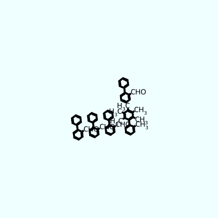 Cc1ccccc1-c1c(C)c(C)c(C)c(C)c1C.O=Cc1ccccc1-c1ccccc1.O=Cc1ccccc1-c1ccccc1.O=Cc1ccccc1-c1ccccc1.O=Cc1ccccc1-c1ccccc1